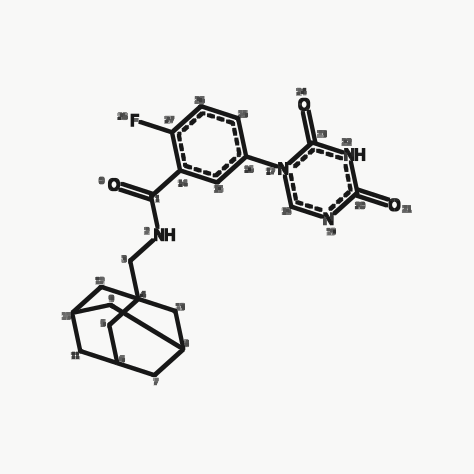 O=C(NCC12CC3CC(CC(C3)C1)C2)c1cc(-n2cnc(=O)[nH]c2=O)ccc1F